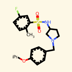 Cc1ccc(F)cc1S(=O)(=O)NC1CCN(Cc2ccc(OC(C)C)cc2)C1